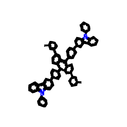 Cc1cccc(-c2ccc3c(-c4ccc(-c5ccc6c(c5)c5ccccc5n6-c5ccccc5)cc4)c4cc(-c5cccc(C)c5)ccc4c(-c4ccc(-c5ccc6c(c5)c5ccccc5n6-c5ccccc5)cc4)c3c2)c1